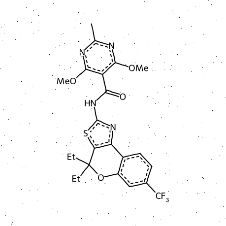 CCC1(CC)Oc2cc(C(F)(F)F)ccc2-c2nc(NC(=O)c3c(OC)nc(C)nc3OC)sc21